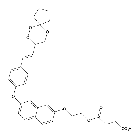 O=C(O)CCC(=O)OCCOc1ccc2ccc(Oc3ccc(C=CC4COC5(CCCC5)OO4)cc3)cc2c1